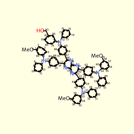 COc1cccc(N(c2ccccc2)c2ccc(-c3nc4nc(-c5ccc(N(c6ccccc6)c6cccc(OC)c6)cc5)c(-c5ccc(N(c6ccccc6)c6cccc(OC)c6)cc5)nc4nc3-c3ccc(N(c4ccccc4)c4cccc(CO)c4)cc3)cc2)c1